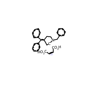 O=C(O)/C=C\C(=O)O.c1ccc(CN2CCC(=C(c3ccccc3)c3ccccc3)CC2)cc1